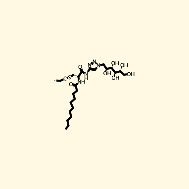 [CH2][CH]CSC[C@@H](NC(=O)CCCCCCCCCC)C(=O)Nc1cn(C[C@H](O)[C@H](O)[C@H](O)[C@H](O)CO)nn1